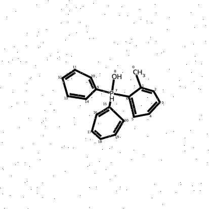 Cc1ccccc1[PH](O)(c1ccccc1)c1ccccc1